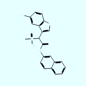 CP(=O)(O)C(C(=O)Nc1ccc2ccccc2c1)c1coc2ccc(Br)cc12